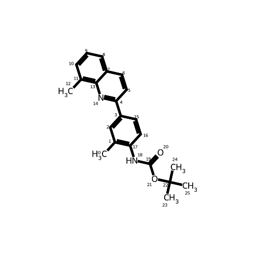 Cc1cc(-c2ccc3cccc(C)c3n2)ccc1NC(=O)OC(C)(C)C